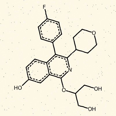 OCC(CO)Oc1nc(C2CCOCC2)c(-c2ccc(F)cc2)c2ccc(O)cc12